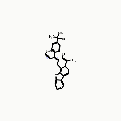 CCC=C(C)C1CC=c2c(oc3ccccc23)=C1C/C=C(\C=C/NC)c1ccc(C(C)(C)CC)cc1